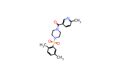 Cc1ccc(C)c(S(=O)(=O)N2CCN(C(=O)c3ccc(C)nc3)CC2)c1